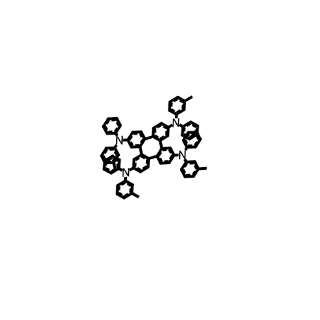 Cc1cccc(N(c2ccccc2)c2ccc3c(c2)-c2cc(N(c4ccccc4)c4cccc(C)c4)ccc2-c2ccc(N(c4ccccc4)c4cccc(C)c4)cc2-c2cc(N(c4ccccc4)c4cccc(C)c4)ccc2-3)c1